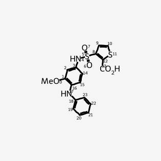 COc1cc(NS(=O)(=O)c2ccsc2C(=O)O)ccc1Nc1ccccc1